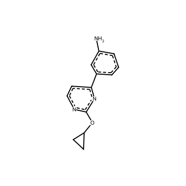 Nc1cccc(-c2ccnc(OC3CC3)n2)c1